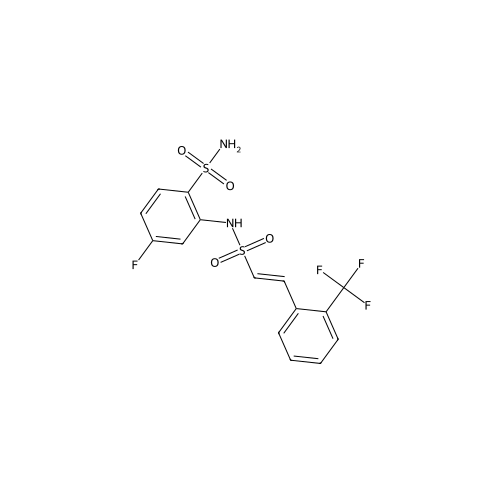 NS(=O)(=O)c1ccc(F)cc1NS(=O)(=O)C=Cc1ccccc1C(F)(F)F